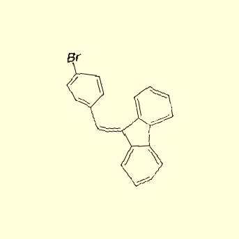 Brc1ccc(C=C2c3ccccc3-c3ccccc32)cc1